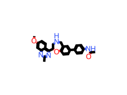 COc1ccc2c(C3CNCc4cc(-c5ccc(NC(C)=O)cc5)ccc4O3)nc(C)nc2c1